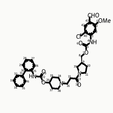 COc1cc(NC(=O)OC[C@H]2CCN(C(=O)CCN3CCC(OC(=O)Nc4ccccc4-c4ccccc4)CC3)C2)c(Cl)cc1C=O